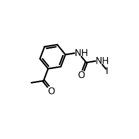 CC(=O)c1cccc(NC(=O)NI)c1